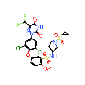 O=c1[nH]c(=O)n(-c2cc(Cl)c(Oc3ccc(O)c(S(=O)(=O)NC4CCN(S(=O)(=O)C5CC5)C4)c3)c(Cl)c2)nc1C(F)F